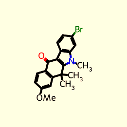 COc1ccc2c(c1)C(C)(C)c1c(c3ccc(Br)cc3n1C)C2=O